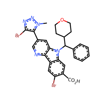 Cn1nnc(Br)c1-c1cnc2c3cc(Br)c(C(=O)O)cc3n(C(c3ccccc3)C3CCOCC3)c2c1